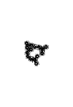 c1ccc(-c2nc(-c3ccccc3)nc(-c3ccc(-c4ccc(-c5ccc(-n6c7ccccc7c7c6ccc6c8ccccc8n(-c8ccc(-c9ccc(-c%10ccc(-c%11nc(-c%12ccccc%12)nc(-c%12ccccc%12)n%11)s%10)s9)s8)c67)s5)s4)s3)n2)cc1